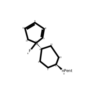 CCCCC[C@H]1CC[C@H](C2(F)C=CC=CC2)CC1